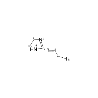 C1=NCCN1.C=CCI